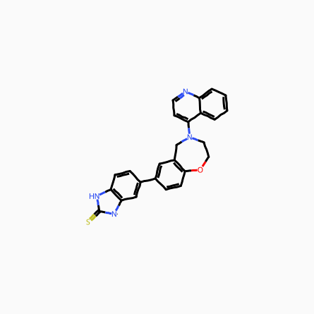 S=C1[N]c2cc(-c3ccc4c(c3)CN(c3ccnc5ccccc35)CCO4)ccc2N1